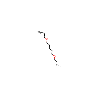 [CH2]CCOCCCCCOCCC